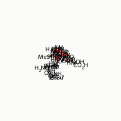 CC[C@H](C)[C@H](N)C(=O)N[C@@H](CC(C)C)C(=O)N[C@@H](CC(N)=O)C(=O)NCC(=O)N[C@@H](CO)C(=O)N[C@H](C(=O)N[C@@H](CCSC)C(=O)N[C@H](C(=O)N[C@@H](CO)C(=O)N[C@H](C(=O)N[C@H](C(=O)N[C@@H](CCCNC(=N)N)C(=O)N[C@@H](CC(C)C)C(=O)N1CCC[C@H]1C(=O)N[C@@H](CO)C(=O)O)[C@@H](C)O)[C@@H](C)O)C(C)C)C(C)C